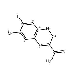 CC(=O)C1=Cc2cc(Cl)c(F)cc2NC1